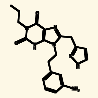 CCCn1c(=O)[nH]c2c(nc(Cc3cc[nH]n3)n2CCc2cccc(N)c2)c1=O